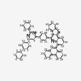 c1ccc(-c2ccc(-c3cc(-c4ccc(-c5nc6c(-c7cc8ccccc8c8ccccc78)cccc6c6sc7ccccc7c56)cc4)nc(-c4ccccc4)n3)cc2)cc1